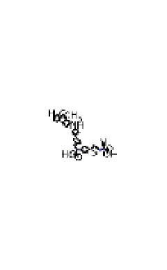 CC1(C)c2ccccc2-c2ccc(Nc3ccc(-c4ccc(/C=C(/C(=O)O)c5ccc(-c6ccc(/C=C(\C#N)C(=O)O)s6)cc5)s4)cc3)cc21